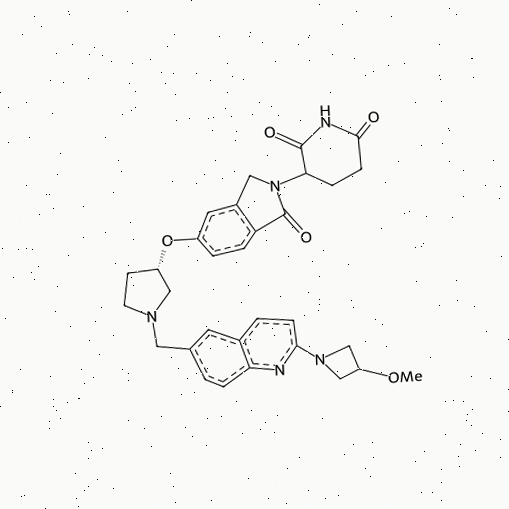 COC1CN(c2ccc3cc(CN4CC[C@H](Oc5ccc6c(c5)CN(C5CCC(=O)NC5=O)C6=O)C4)ccc3n2)C1